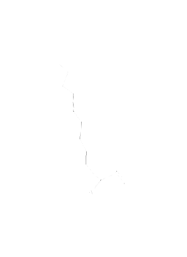 [2H]C(C=O)CCCCCCCCC